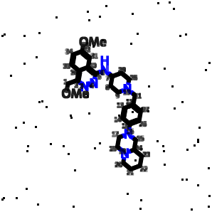 COCc1nnc(NC2CCN(Cc3ccc(N4CCN5CCCCC5C4)cc3)CC2)c2cc(OC)ccc12